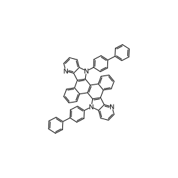 c1ccc(-c2ccc(-n3c4cccnc4c4c5ccccc5c5c(c6ccccc6c6c7ncccc7n(-c7ccc(-c8ccccc8)cc7)c65)c43)cc2)cc1